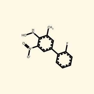 Cc1cc(-c2ccccc2F)cc([N+](=O)[O-])c1NO